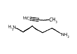 C#CC.NCCCCN